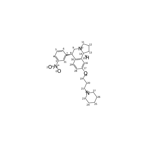 O=[N+]([O-])c1cccc([C@H]2CN3CCC[C@H]3c3cc(OCCCN4CCCCC4)ccc32)c1